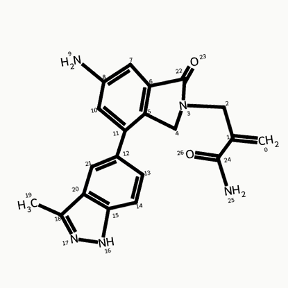 C=C(CN1Cc2c(cc(N)cc2-c2ccc3[nH]nc(C)c3c2)C1=O)C(N)=O